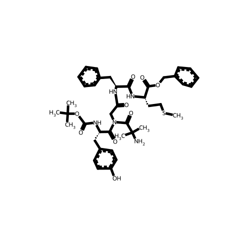 CSCC[C@H](NC(=O)[C@H](Cc1ccccc1)NC(=O)CN(C(=O)[C@H](Cc1ccc(O)cc1)NC(=O)OC(C)(C)C)C(=O)C(C)(C)N)C(=O)OCc1ccccc1